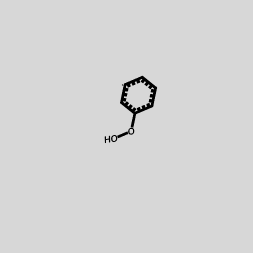 OOc1c[c]ccc1